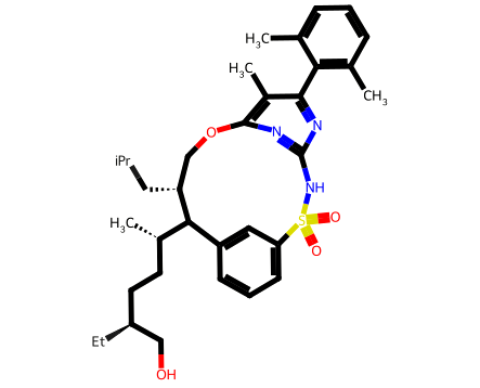 CC[C@H](CO)CC[C@H](C)C1c2cccc(c2)S(=O)(=O)Nc2nc(c(C)c(-c3c(C)cccc3C)n2)OC[C@H]1CC(C)C